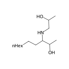 CCCCCCCCC(NCC(C)O)C(C)O